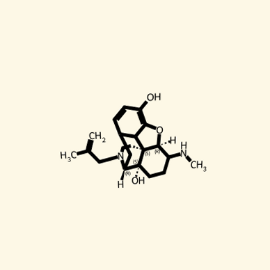 C=C(C)CN1CC[C@@]23C4C5=C(O)C=CC4C[C@@H]1[C@]2(O)CCC(NC)[C@@H]3O5